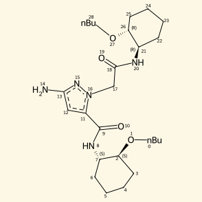 CCCCO[C@H]1CCCC[C@@H]1NC(=O)c1cc(N)nn1CC(=O)N[C@@H]1CCCC[C@H]1OCCCC